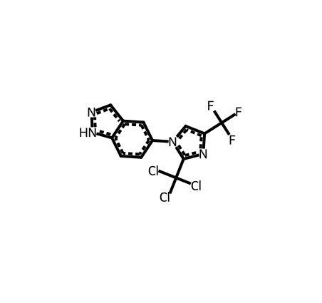 FC(F)(F)c1cn(-c2ccc3[nH]ncc3c2)c(C(Cl)(Cl)Cl)n1